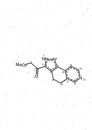 COCC(=O)c1[nH]nc2c1CCc1cnccc1-2